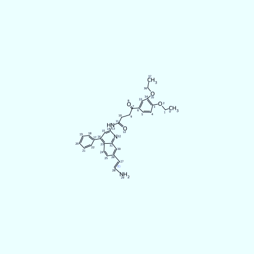 CCOc1ccc(C(=O)CCC(=O)Nc2cc(-c3ccccc3)c3ccc(/C=C/N)cc3n2)cc1OCC